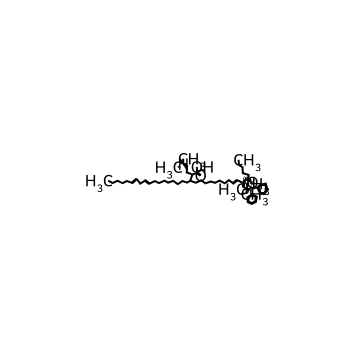 CCCCCC=CCC=CCCCCCCCCC(CCCCCCCCC=CC[C@@H](CCCCC)O[Si](c1ccccc1)(c1ccccc1)C(C)(C)C)C(CCN(C)C)C(=O)O